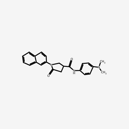 CN(C)c1ccc(NC(=O)C2CC(=O)N(c3ccc4ccccc4c3)C2)cc1